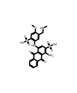 CNCc1cc(Nc2cc(S(=O)(=O)O)c(N)c3c2C(=O)c2ccccc2C3=O)c(S(=O)(=O)O)cc1OC